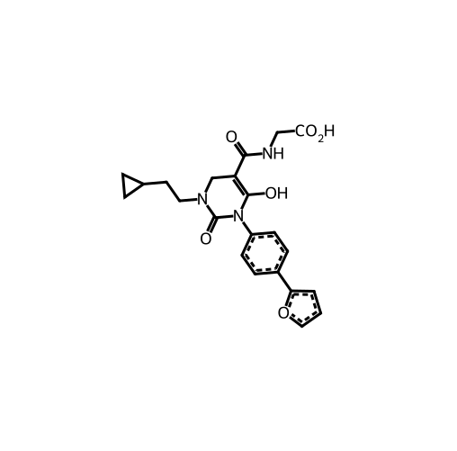 O=C(O)CNC(=O)C1=C(O)N(c2ccc(-c3ccco3)cc2)C(=O)N(CCC2CC2)C1